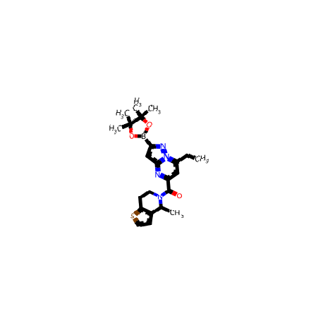 CCc1cc(C(=O)N2CCc3sccc3C2C)nc2cc(B3OC(C)(C)C(C)(C)O3)nn12